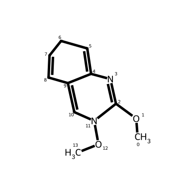 COC1=NC2=CCC=CC2=CN1OC